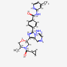 C[C@H]1CO[C@@H](C2=C3C=NC=C[N+]3(N)C(c3ccc(C(=O)Nc4cc(C(F)(F)F)ccn4)cc3)=N2)CN1C(=O)C1CC1